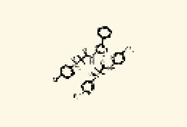 CC(C)(C(=O)Nc1ccc(C(F)(F)F)cn1)S(=O)(=O)c1ccc(C(F)(F)F)nc1.CC(C)(C(=O)Nc1nc(-c2ccccc2)no1)S(=O)(=O)c1ccc(Cl)cc1